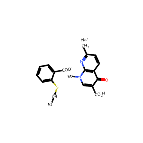 CCn1cc(C(=O)O)c(=O)c2ccc(C)nc21.C[CH2][Hg][S]c1ccccc1C(=O)[O-].[Na+]